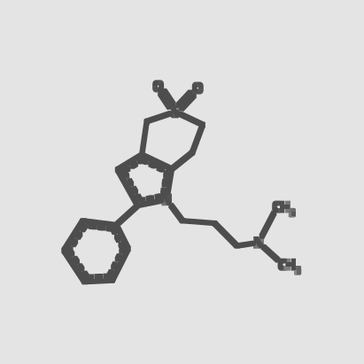 CN(C)CCCn1c(-c2ccccc2)cc2c1CCS(=O)(=O)C2